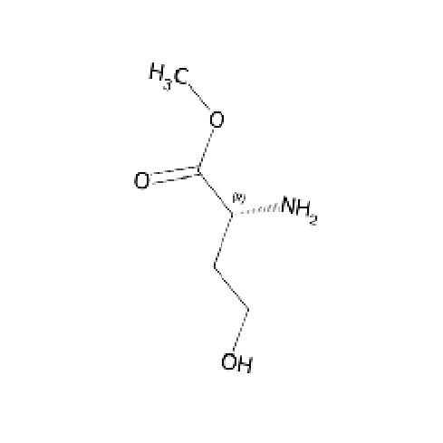 COC(=O)[C@H](N)CCO